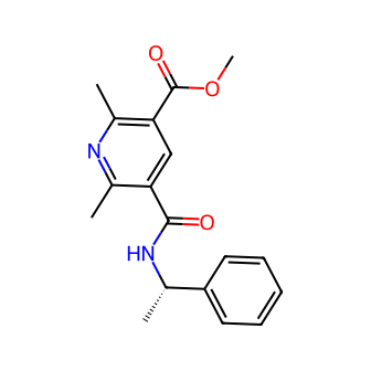 COC(=O)c1cc(C(=O)N[C@@H](C)c2ccccc2)c(C)nc1C